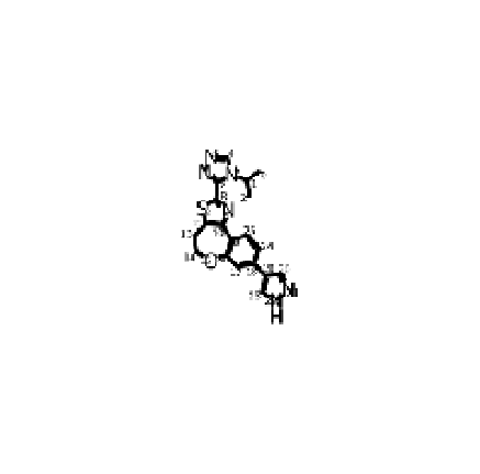 CC(C)n1cnnc1-c1nc2c(s1)CCOc1cc(-c3cn[nH]c3)ccc1-2